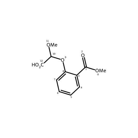 COC(=O)c1ccccc1OC(OC)C(=O)O